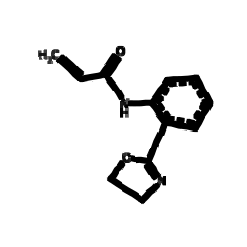 C=CC(=O)Nc1ccccc1C1=NCCO1